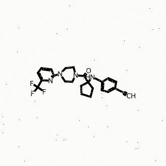 C#Cc1ccc(NC2(C(=O)N3CCN(c4cccc(C(F)(F)F)n4)CC3)CCCC2)cc1